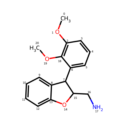 COc1cccc(C2c3ccccc3OC2CN)c1OC